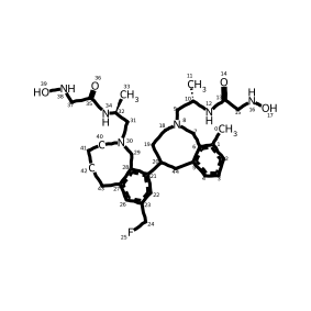 Cc1cccc2c1CN(C[C@H](C)NC(=O)CNO)CCC(c1cc(CF)cc3c1CN(C[C@H](C)NC(=O)CNO)CCCC3)C2